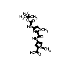 Cn1cc(NC(=O)c2nc(NC(=O)OC(C)(C)C)cn2C)cc1C(=O)O